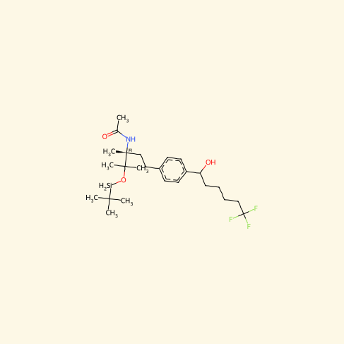 CC(=O)N[C@](C)(CCc1ccc(C(O)CCCCC(F)(F)F)cc1)C(C)(C)O[SiH2]C(C)(C)C